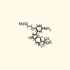 COCCOc1cnc(N)nc1-c1c[nH]c2ccc(C(C)(C)O)cc12